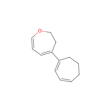 C1=CCCCC(C2=CC=COCC2)=C1